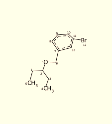 CCC(CC)OCc1cccc(Br)c1